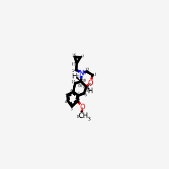 COc1cccc2c1C[C@@H]1OCCN(CC3CC3)[C@H]1C2